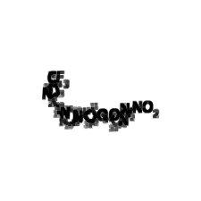 O=[N+]([O-])c1cn2c(n1)OC(COc1ccc(N3CCCN(CCCc4ccc(C(F)(F)F)cn4)CC3)cc1)CC2